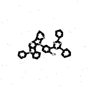 N#Cc1ccc(-n2c3ncccc3c3ccc4c(c5ccccc5n4-c4ccccc4)c32)cc1-c1nc(-c2ccccc2)nc(-c2ccccc2)n1